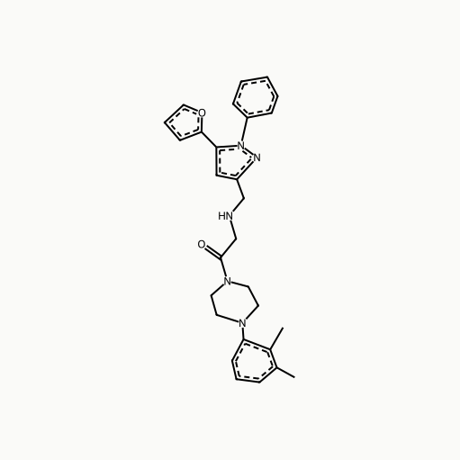 Cc1cccc(N2CCN(C(=O)CNCc3cc(-c4ccco4)n(-c4ccccc4)n3)CC2)c1C